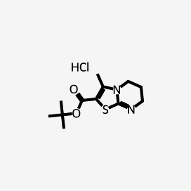 CC1=C(C(=O)OC(C)(C)C)SC2=NCCCN21.Cl